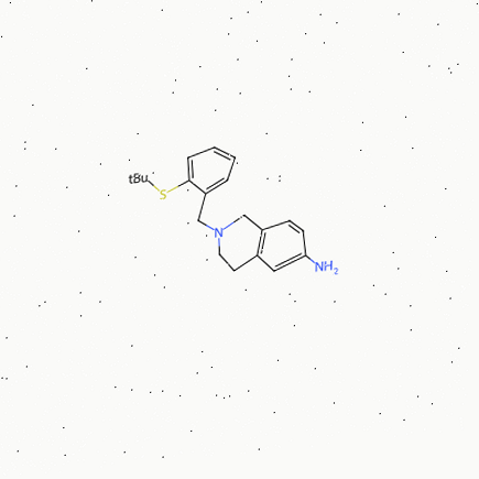 CC(C)(C)Sc1ccccc1CN1CCc2cc(N)ccc2C1